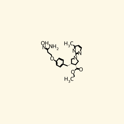 CCOC(=O)[C@H]1CN(c2nccc(C)n2)C[C@H]1Cc1ccc(OCC/C(N)=N/O)cc1